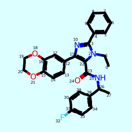 CCn1c(-c2ccccc2)nc(-c2ccc3c(c2)OCCO3)c1C(=O)NC(C)c1ccc(F)cc1